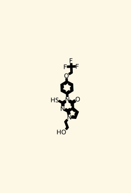 O=c1c2ccn(CCO)c2nc(S)n1-c1ccc(OCC(F)(F)F)cc1